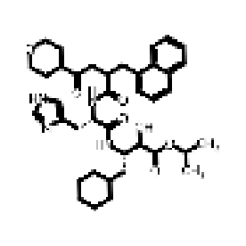 CC(C)OC(=O)C(O)[C@H](CC1CCCCC1)NC(=O)[C@H](Cc1c[nH]cn1)NC(=O)C(CC(=O)C1CCOCC1)Cc1cccc2ccccc12